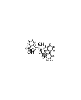 CC(Cc1ccccc1S(=O)(=O)O)C1CC(c2ccccc2)(c2ccccc2)C(=O)O1